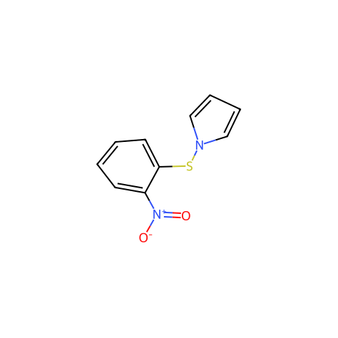 O=[N+]([O-])c1ccccc1Sn1cccc1